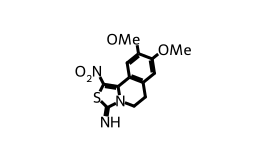 COc1cc2c(cc1OC)-c1c([N+](=O)[O-])sc(=N)n1CC2